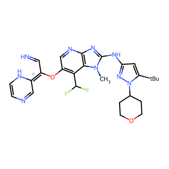 Cn1c(Nc2cc(C(C)(C)C)n(C3CCOCC3)n2)nc2ncc(O/C(C=N)=C3\C=NC=CN3)c(C(F)F)c21